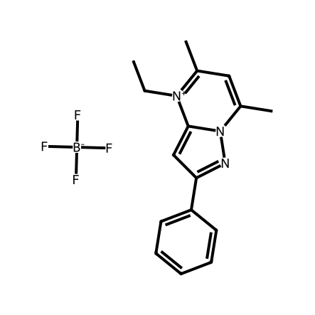 CC[n+]1c(C)cc(C)n2nc(-c3ccccc3)cc21.F[B-](F)(F)F